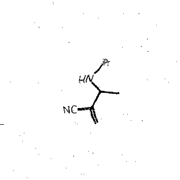 C=C(C#N)C(C)NC(C)C